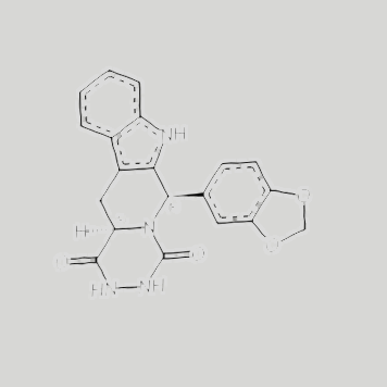 O=C1NNC(=O)N2[C@H](c3ccc4c(c3)OCO4)c3[nH]c4ccccc4c3C[C@H]12